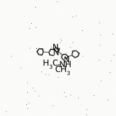 CC(C)Nc1cc(-c2cnc3cc(-c4c[c]ccc4)ccn23)cc(-c2ccccc2)n1